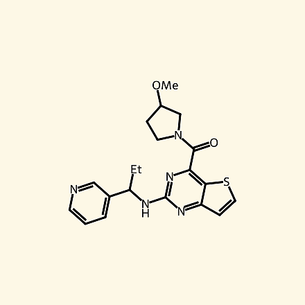 CCC(Nc1nc(C(=O)N2CCC(OC)C2)c2sccc2n1)c1cccnc1